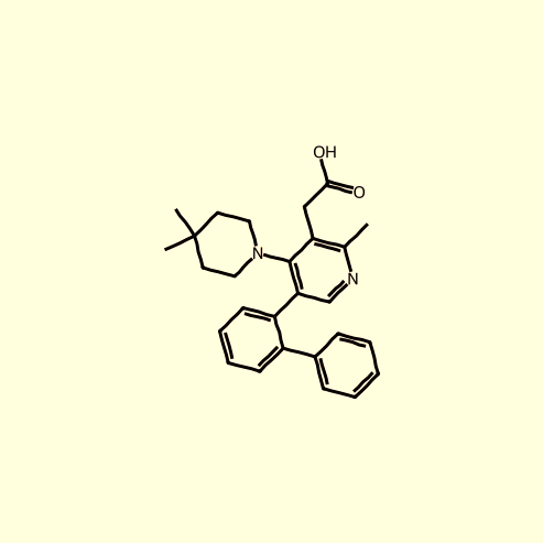 Cc1ncc(-c2ccccc2-c2ccccc2)c(N2CCC(C)(C)CC2)c1CC(=O)O